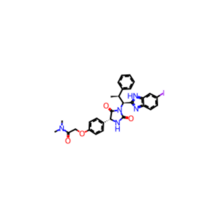 C[C@@H](c1ccccc1)[C@@H](c1nc2ccc(I)cc2[nH]1)N1C(=O)N[C@H](c2ccc(OCC(=O)N(C)C)cc2)C1=O